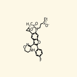 CC[S+]([O-])CCN(c1cc2oc(-c3ccc(F)cc3)c(C3=NOCCN3)c2cc1C1CC1)S(C)(=O)=O